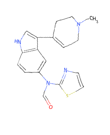 CN1CC=C(c2c[nH]c3ccc(N(C=O)c4nccs4)cc23)CC1